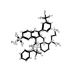 CCCN(C)C1CCCCN1Cc1c(-c2cccc(C(F)(F)F)c2)nc2ccc(S(C)(=O)=O)cc2c1C(=O)N[C@H](c1ccccc1)C(F)(F)F